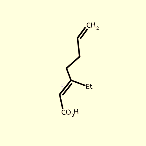 C=CCC/C(=C/C(=O)O)CC